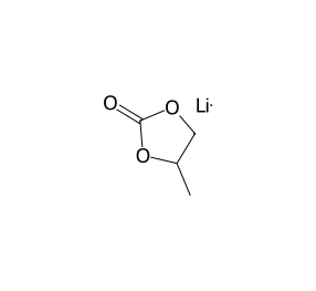 CC1COC(=O)O1.[Li]